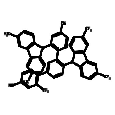 N#Cc1ccc(-c2cc(-c3ccc(C#N)cc3C(F)(F)F)ccc2-n2c3ccc(C(F)(F)F)cc3c3cc(C(F)(F)F)ccc32)c(-n2c3ccc(C(F)(F)F)cc3c3cc(C(F)(F)F)ccc32)c1